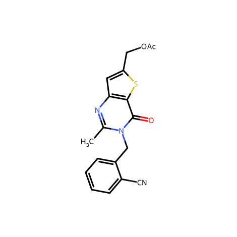 CC(=O)OCc1cc2nc(C)n(Cc3ccccc3C#N)c(=O)c2s1